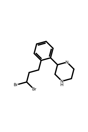 BrC(Br)CCc1ccccc1C1CNCC[N]1